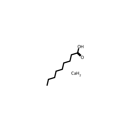 CCCCCCCCC(=O)O.[CaH2]